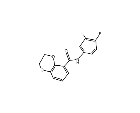 O=C(Nc1ccc(F)c(F)c1)c1cccc2c1OCCO2